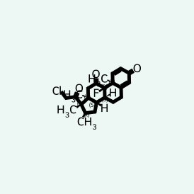 C[C@@H]1C[C@H]2[C@@H]3CCC4=CC(=O)C=C[C@]4(C)[C@@]3(F)C(=O)C[C@]2(C)[C@@]1(C)C(=O)CCl